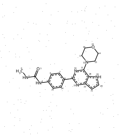 CNC(=O)Nc1ccc(-c2nc(N3CCOCC3)c3[nH]ccc3n2)cc1